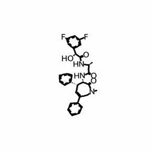 C[C@H](NC(=O)[C@@H](O)c1cc(F)cc(F)c1)C(=O)N[C@@H]1C(=O)N(C)CC(c2ccccc2)=C[C@@H]1c1ccccc1